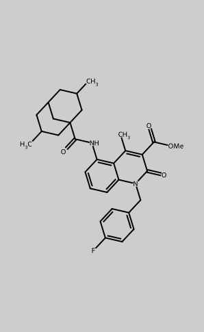 COC(=O)c1c(C)c2c(NC(=O)C34CC(C)CC(CC(C)C3)C4)cccc2n(Cc2ccc(F)cc2)c1=O